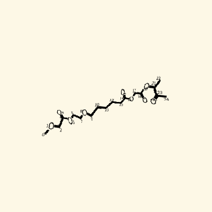 COCC(=O)OCCOCCCCCC(=O)OCC(=O)OC(C)C(C)=O